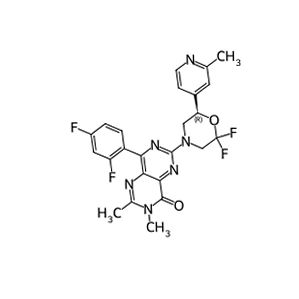 Cc1cc([C@@H]2CN(c3nc(-c4ccc(F)cc4F)c4nc(C)n(C)c(=O)c4n3)CC(F)(F)O2)ccn1